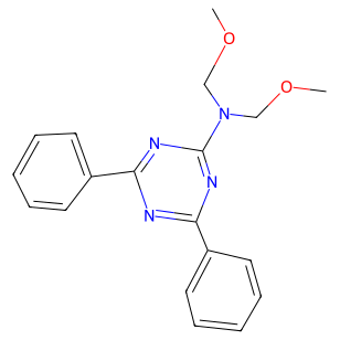 COCN(COC)c1nc(-c2ccccc2)nc(-c2ccccc2)n1